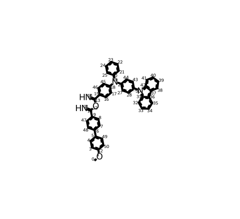 COc1ccc(-c2ccc(C(=N)OC(=N)c3ccc(N(c4ccccc4)c4ccc(-n5c6ccccc6c6ccccc65)cc4)cc3)cc2)cc1